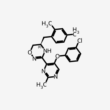 Cc1ccc(C[C@@H]2CON=C(c3nc(C)ncc3Oc3cccc(Cl)c3)N2)c(C)c1